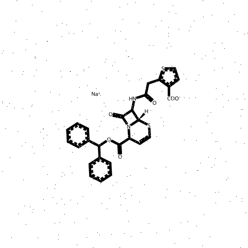 O=C(Cc1sccc1C(=O)[O-])NC1C(=O)N2C(C(=O)OC(c3ccccc3)c3ccccc3)C=CS[C@@H]12.[Na+]